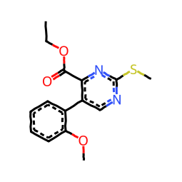 CCOC(=O)c1nc(SC)ncc1-c1ccccc1OC